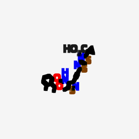 Cc1ccccc1C(C)OC(=O)Nc1c(C#Cc2nc3nc(C4(C(=O)O)CC4)sc3s2)nsc1C